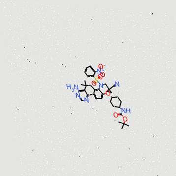 CC(C)(C)OC(=O)N[C@H]1CC[C@H](Oc2ccc3c(c2N(CC2(C#N)CC2)S(=O)(=O)c2ccccc2[N+](=O)[O-])CC(C)(C)c2c(N)ncnc2-3)CC1